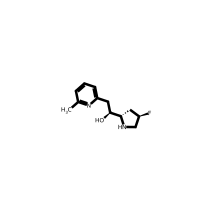 Cc1cccc(C[C@H](O)[C@@H]2C[C@@H](F)CN2)n1